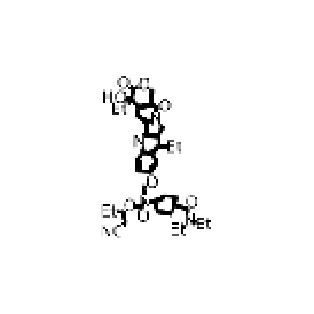 CCc1c2c(nc3ccc(OCN(C(=O)OC(CC)CC#N)c4ccc(C(=O)N(CC)CC)cc4)cc13)-c1cc3c(c(=O)n1C2)COC(=O)C3(O)CC